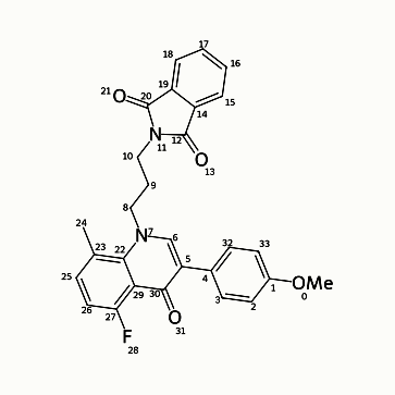 COc1ccc(-c2cn(CCCN3C(=O)c4ccccc4C3=O)c3c(C)ccc(F)c3c2=O)cc1